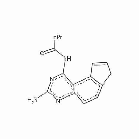 CCCC(=O)Nc1nc(N)nc2ccc3c(c12)C=CC3